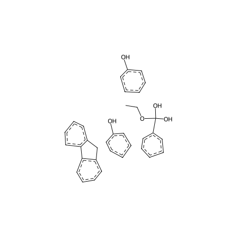 CCOC(O)(O)c1ccccc1.Oc1ccccc1.Oc1ccccc1.c1ccc2c(c1)Cc1ccccc1-2